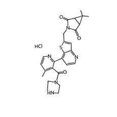 Cc1ccnc(-c2ccnc3cc(CN4C(=O)C5C(C4=O)C5(C)C)sc23)c1C(=O)N1CCNCC1.Cl